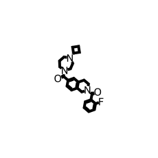 O=C(c1ccc2c(c1)CCN(C(=O)c1ccccc1F)C2)N1CCCN(C2CCC2)CC1